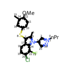 CCCn1cc(-n2c(C)c(Sc3ccc(OC)c(C)c3)c3ccc(Cl)c(F)c32)cn1